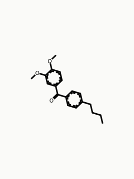 CCCCc1ccc(C(=O)c2ccc(OC)c(OC)c2)cc1